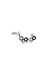 Cc1c(OCc2c(Cl)cccc2Cl)ccc2c1OCC21CCN(CCC(=O)O)CC1